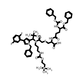 CC(C)(C)C(c1cc(-c2cc(F)ccc2F)cn1Cc1ccccc1)N(CCCNC(=O)OCC[Si](C)(C)C)C(=O)CSCC(NC(=O)CCC(NC(=O)OCc1ccccc1)C(=O)OCc1ccccc1)C(=O)O